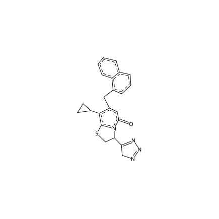 O=c1cc(Cc2cccc3ccccc23)c(C2CC2)c2n1C(C1=NN=NC1)CS2